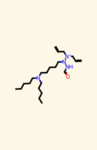 C=CC[N+](CC=C)N(CCCCCN(CCCCC)CCCCC)NC=O